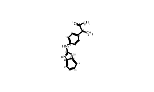 CC(=O)C(C)c1ccc(Nc2nc3ccccc3[nH]2)cc1